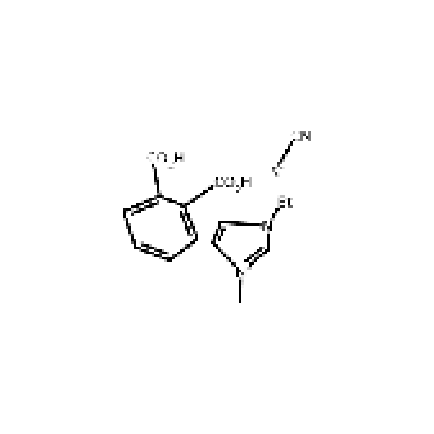 CCn1cc[n+](C)c1.N#C[S-].O=C(O)c1ccccc1C(=O)O